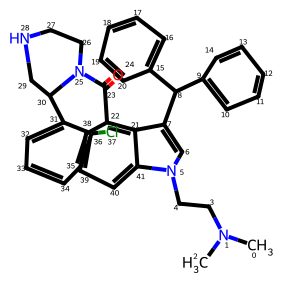 CN(C)CCn1cc(C(c2ccccc2)c2ccccc2)c2c(C(=O)N3CCNCC3c3ccccc3Cl)cccc21